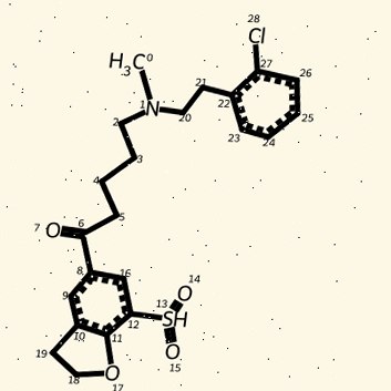 CN(CCCCC(=O)c1cc2c(c([SH](=O)=O)c1)OCC2)CCc1ccccc1Cl